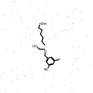 CCCCCCCCCCCCCCCC[C@@H](CO)OCc1cc(F)cc(C#N)c1